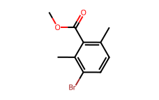 COC(=O)c1c(C)ccc(Br)c1C